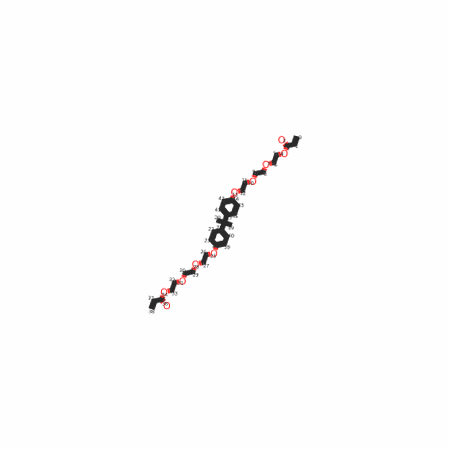 C=CC(=O)OCCOCCOCCOc1ccc(C(C)(C)c2ccc(OCCOCCOCCOC(=O)C=C)cc2)cc1